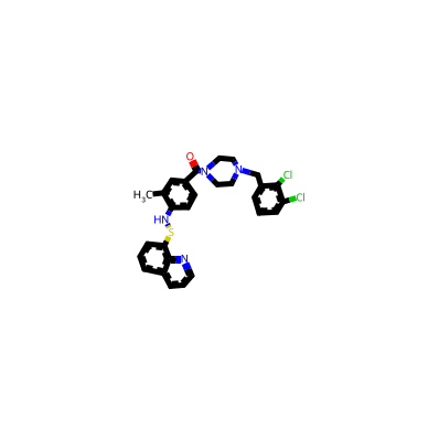 Cc1cc(C(=O)N2CCN(Cc3cccc(Cl)c3Cl)CC2)ccc1NSc1cccc2cccnc12